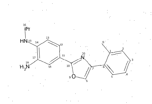 Cc1ccccc1-c1coc(-c2ccc(NC(C)C)c(N)c2)n1